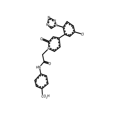 O=C(Cn1ccc(-c2cc(Cl)ccc2-n2cnnn2)cc1=O)Nc1ccc(C(=O)O)cc1